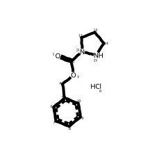 Cl.O=C(OCc1ccccc1)N1CCCN1